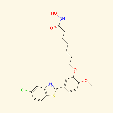 COc1ccc(-c2nc3cc(Cl)ccc3s2)cc1OCCCCCCC(=O)NO